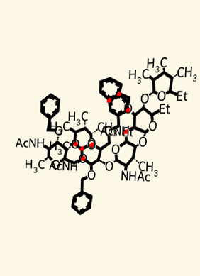 CCC1O[C@@H](O[C@@H]2C(CC)O[C@@H](O[C@@H]3C(COCc4ccccc4)O[C@@H](O[C@@H]4C(CO[C@@H]5O[C@@H](C)[C@@H](C)C(C)C5C)O[C@@H](C)C(NC(C)=O)[C@@H]4OCc4ccccc4)C(NC(C)=O)C3OCc3ccccc3)C(NC(C)=O)[C@H]2C)C(NC(C)=O)C(OCc2ccccc2)[C@@H]1O[C@@H]1OC(CC)[C@@H](C)[C@H](C)C1C